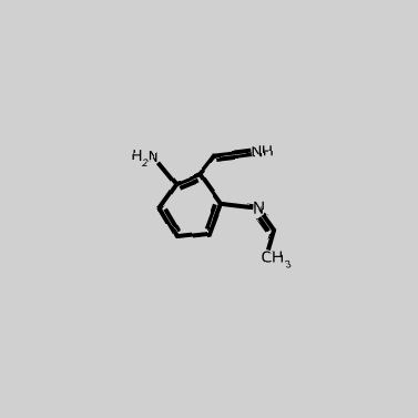 C/C=N\c1cccc(N)c1C=N